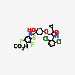 O=C(O)c1c(F)cc2nc(C3(O)CCC(OCc4c(-c5c(Cl)cccc5Cl)noc4C4CC4)CC3)sc2c1F